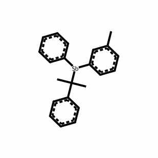 Cc1ccc[c]([Sb]([c]2ccccc2)[C](C)(C)c2ccccc2)c1